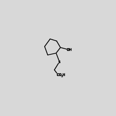 O=C(O)CSC1CCCCC1O